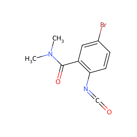 CN(C)C(=O)c1cc(Br)ccc1N=C=O